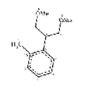 COCC(COC)c1ccccc1C